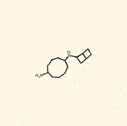 NC1CCCCC(NC2CC3CCC32)CCC1